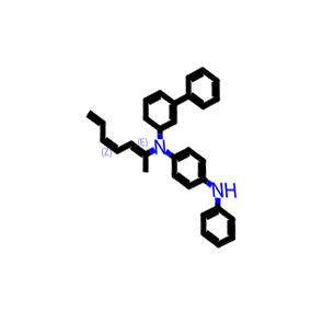 C=C/C=C\C=C(/C)N(c1ccc(Nc2ccccc2)cc1)C1C=C(c2ccccc2)C=CC1